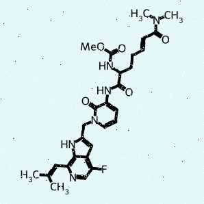 COC(=O)NC(CCC=CC(=O)N(C)C)C(=O)Nc1cccn(Cc2cc3c(F)cnc(C=C(C)C)c3[nH]2)c1=O